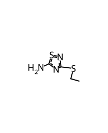 CCSc1nsc(N)n1